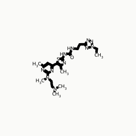 CCn1nnc(CCNC(=O)Nc2nc(C)c(-c3cc(C)nc(N(C)CCN(C)C)n3)s2)n1